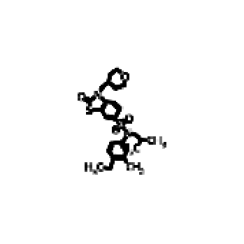 CCc1ccc(N(CC(C)C)S(=O)(=O)c2ccc3c(c2)sc(=O)n3CC2CCOCC2)cc1C